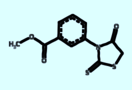 COC(=O)c1cccc(N2C(=O)CSC2=S)c1